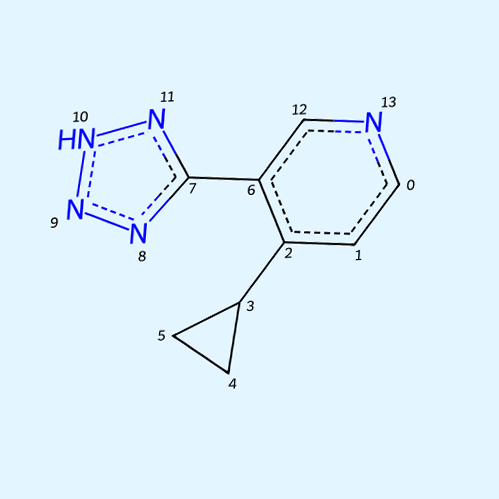 c1cc(C2CC2)c(-c2nn[nH]n2)cn1